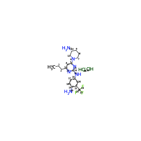 CCCc1cc(N2CCC[C@@H](N)C2)nc(Nc2ccc(N)c(C(F)(F)F)c2)n1.Cl.Cl